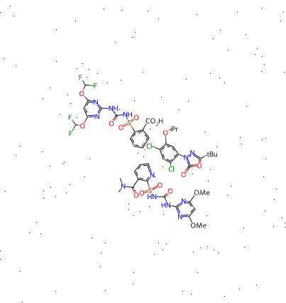 CC(C)Oc1cc(-n2nc(C(C)(C)C)oc2=O)c(Cl)cc1Cl.COc1cc(OC)nc(NC(=O)NS(=O)(=O)c2ncccc2C(=O)N(C)C)n1.O=C(Nc1nc(OC(F)F)cc(OC(F)F)n1)NS(=O)(=O)c1ccccc1C(=O)O